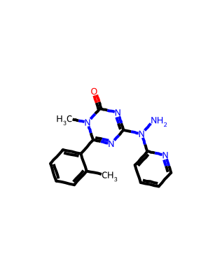 Cc1ccccc1-c1nc(N(N)c2ccccn2)nc(=O)n1C